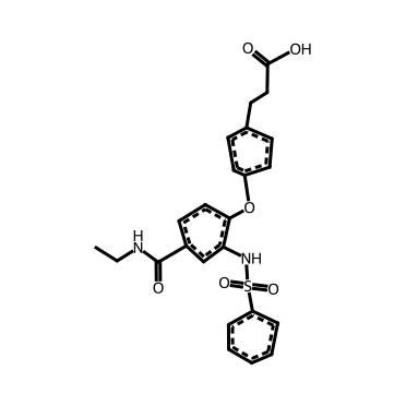 CCNC(=O)c1ccc(Oc2ccc(CCC(=O)O)cc2)c(NS(=O)(=O)c2ccccc2)c1